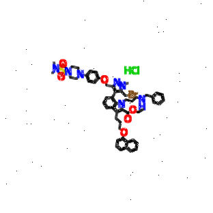 CCOC(=O)c1c(CCCOc2cccc3ccccc23)c2cccc(-c3c(COc4ccc(N5CCN(S(=O)(=O)N(C)C)CC5)cc4)nn(C)c3CBr)c2n1CCCNCc1ccccc1.Cl